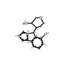 OC1COCCC1C1c2c(Cl)cccc2-c2cncn21